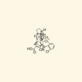 CC1(OCc2c(-c3c(Cl)cccc3Cl)noc2C2CC2)C[C@H]2CC[C@@H](C1)[C@@]2(O)c1nc2c(F)cc(C(=O)O)cc2s1